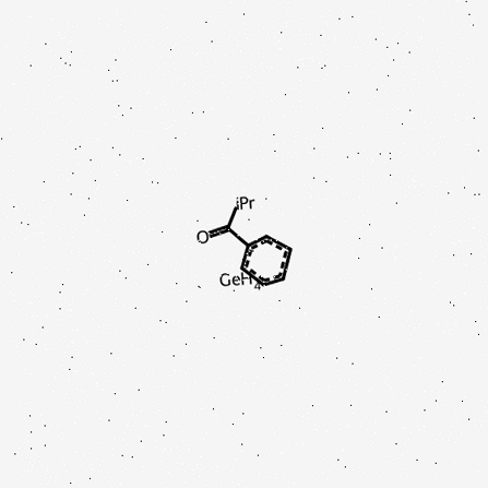 CC(C)C(=O)c1ccccc1.[GeH4]